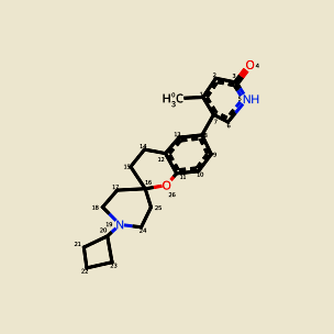 Cc1cc(=O)[nH]cc1-c1ccc2c(c1)CCC1(CCN(C3CCC3)CC1)O2